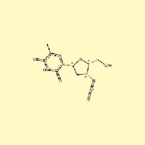 CC(=O)OC[C@H]1O[C@@H](n2cc(C)c(=O)[nH]c2=O)C[C@H]1N=[N+]=[N-]